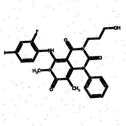 Cc1c(=O)n(C)c(Nc2ccc(I)cc2F)c2c(=O)n(CCCO)c(=O)n(-c3ccccc3)c12